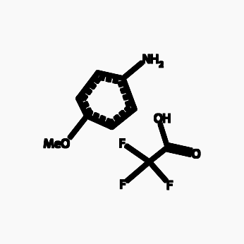 COc1ccc(N)cc1.O=C(O)C(F)(F)F